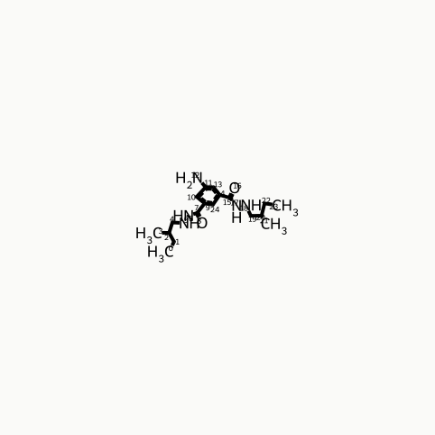 CCC(C)CNNC(=O)c1cc(N)cc(C(=O)NNCC(C)CC)c1